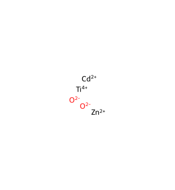 [Cd+2].[O-2].[O-2].[Ti+4].[Zn+2]